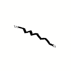 [CH2]CC=CC=CC=CC=CCC